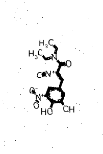 [C-]#[N+]/C(=C\c1cc(O)c(O)c([N+](=O)[O-])c1)C(=O)N(CC)CC